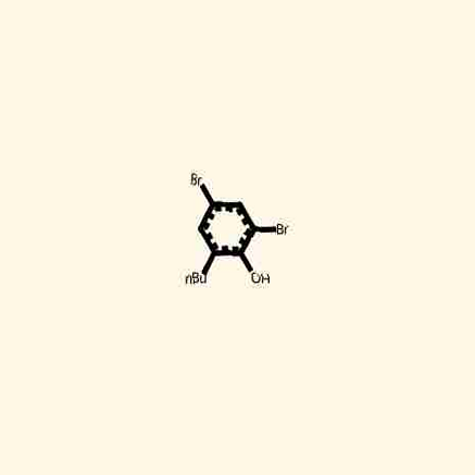 CCCCc1cc(Br)cc(Br)c1O